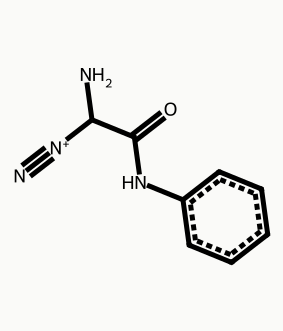 N#[N+]C(N)C(=O)Nc1ccccc1